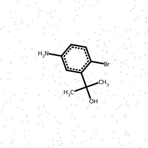 CC(C)(O)c1cc(N)ccc1Br